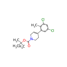 Cc1c(Cl)cc(Cl)cc1C1=CCN(C(=O)OC(C)(C)C)CC1